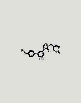 CC(C)Sc1ccc(-c2cccc(-n3cnn(C/C(=C/F)CN)c3=O)c2)cc1.Cl